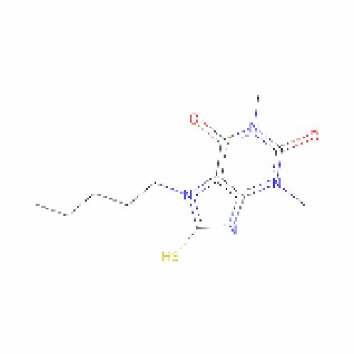 CCCCCn1c(S)nc2c1c(=O)n(C)c(=O)n2C